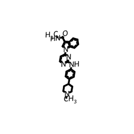 CNC(=O)c1cn(-c2ccnc(Nc3ccc(C4CCN(C)CC4)cc3)n2)c2ccccc12